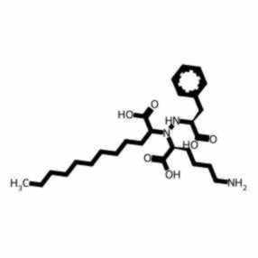 CCCCCCCCCCC(C(=O)O)N(N[C@@H](Cc1ccccc1)C(=O)O)[C@@H](CCCCN)C(=O)O